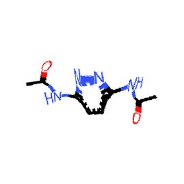 CC(=O)Nc1ccc(NC(C)=O)nn1